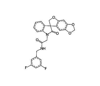 O=C(CN1C(=O)C2(COc3cc4c(cc32)OCO4)c2ccccc21)NCc1cc(F)cc(F)c1